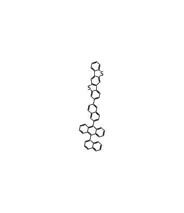 c1ccc2c(-c3c4ccccc4c(-c4ccc5cc(-c6ccc7c(c6)sc6cc8c(cc67)sc6ccccc68)ccc5c4)c4ccccc34)cccc2c1